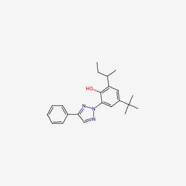 CCC(C)c1cc(C(C)(C)C)cc(-n2ncc(-c3ccccc3)n2)c1O